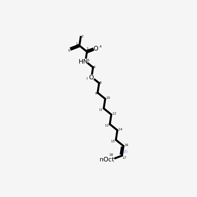 C=C(C)C(=O)NCOCCCCCCCC/C=C\CCCCCCCC